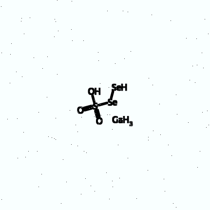 O=S(=O)(O)[Se][SeH].[GaH3]